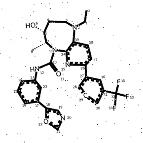 CCN1CC[C@@H](O)[C@@H](C)N(C(=O)Nc2cccc(-c3cnco3)c2)c2nc(-c3cccc(C(F)(F)F)c3)ccc21